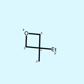 CCC1(C)COC1